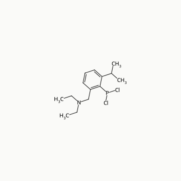 CCN(CC)Cc1cccc(C(C)C)c1P(Cl)Cl